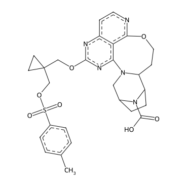 Cc1ccc(S(=O)(=O)OCC2(COc3nc4c5c(nccc5n3)OCCC3C5CCC(CN43)N5C(=O)O)CC2)cc1